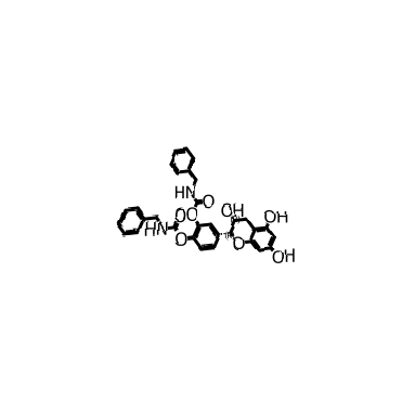 O=C(NCc1ccccc1)Oc1ccc([C@H]2Oc3cc(O)cc(O)c3C[C@H]2O)cc1OC(=O)NCc1ccccc1